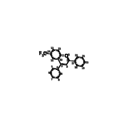 O=C(C=C(c1ccccc1)c1cccc(C(F)(F)F)c1)c1ccccc1